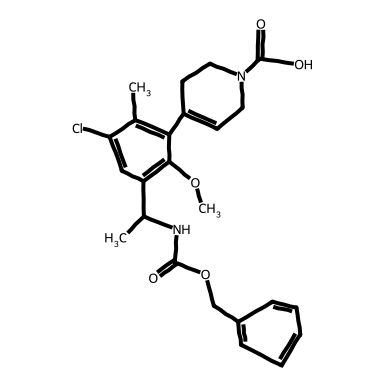 COc1c(C(C)NC(=O)OCc2ccccc2)cc(Cl)c(C)c1C1=CCN(C(=O)O)CC1